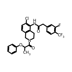 CC(Oc1ccccc1)C(=O)N1CCc2c(ccc(Cl)c2NC(=O)Cc2ccc(C(F)(F)F)c(F)c2)C1